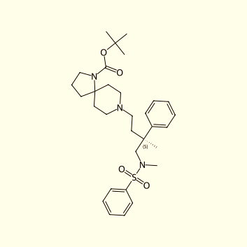 CN(C[C@@](C)(CCN1CCC2(CCCN2C(=O)OC(C)(C)C)CC1)c1ccccc1)S(=O)(=O)c1ccccc1